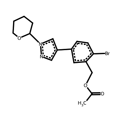 CC(=O)OCc1cc(-c2cnn(C3CCCCO3)c2)ccc1Br